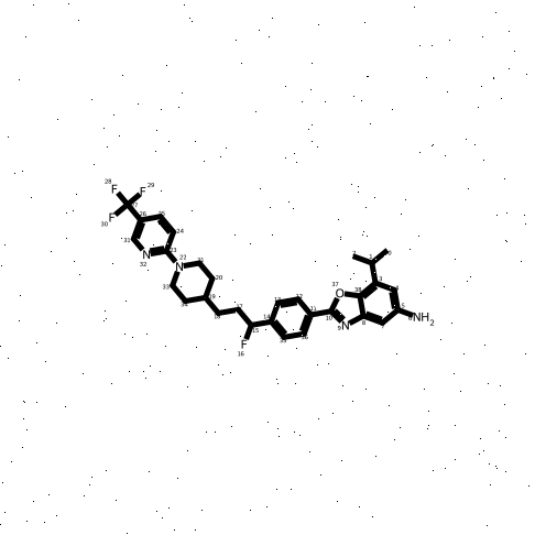 CC(C)c1cc(N)cc2nc(-c3ccc(C(F)CCC4CCN(c5ccc(C(F)(F)F)cn5)CC4)cc3)oc12